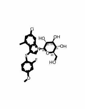 COc1ccc(Sc2cn([C@@H]3O[C@H](CO)[C@@H](O)[C@H](O)[C@H]3O)c3cc(Cl)cc(C)c23)c(F)c1